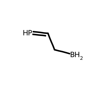 BCC=P